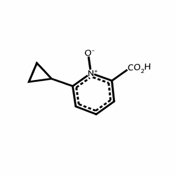 O=C(O)c1cccc(C2CC2)[n+]1[O-]